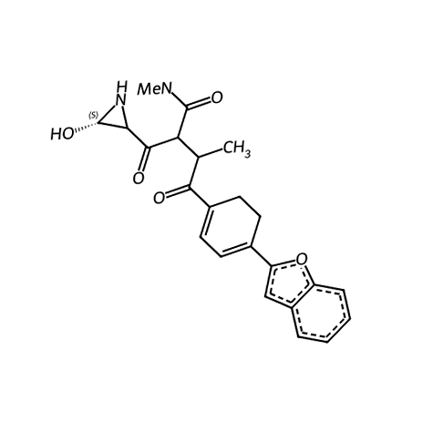 CNC(=O)C(C(=O)C1N[C@H]1O)C(C)C(=O)C1=CC=C(c2cc3ccccc3o2)CC1